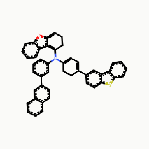 C1=C(c2ccc3sc4ccccc4c3c2)CCC(N(C2=c3c(oc4ccccc34)=CCC2)c2cccc(-c3ccc4ccccc4c3)c2)=C1